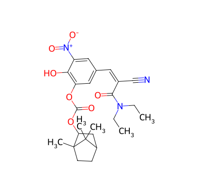 CCN(CC)C(=O)C(C#N)=Cc1cc(OC(=O)OC2CC3CCC2(C)C3(C)C)c(O)c([N+](=O)[O-])c1